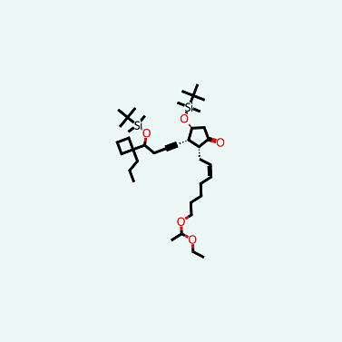 CCCC1(C(CC#C[C@@H]2[C@H](O[Si](C)(C)C(C)(C)C)CC(=O)[C@@H]2C/C=C\CCCCOC(C)OCC)O[Si](C)(C)C(C)(C)C)CCC1